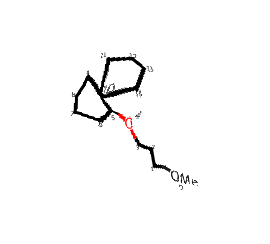 COCCCO[C@H]1CCCCC12CCCC2